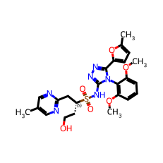 COc1cccc(OC)c1-n1c(NS(=O)(=O)[C@H](CCO)Cc2ncc(C)cn2)nnc1-c1ccc(C)o1